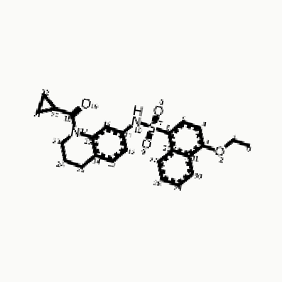 CCOc1ccc(S(=O)(=O)Nc2ccc3c(c2)N(C(=O)C2CC2)CCC3)c2ccccc12